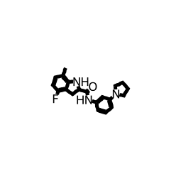 Cc1ccc(F)c2c1NC(C(=O)Nc1cccc(N3CCCC3)c1)C2